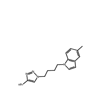 CCCc1cn(CCCCn2ccc3cc(C)ccc32)nn1